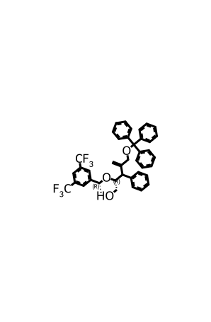 C=C(COC(c1ccccc1)(c1ccccc1)c1ccccc1)C(c1ccccc1)[C@H](CO)O[C@H](C)c1cc(C(F)(F)F)cc(C(F)(F)F)c1